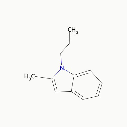 CCCn1c(C)cc2ccccc21